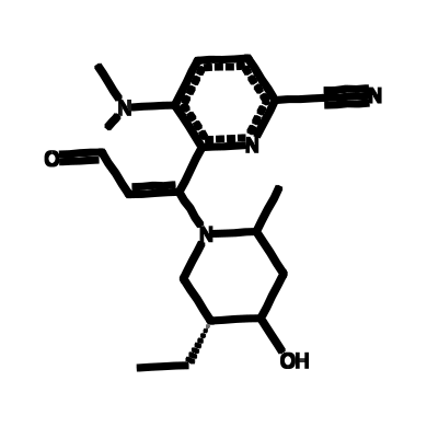 CC[C@@H]1CN(/C(=C/C=O)c2nc(C#N)ccc2N(C)C)C(C)CC1O